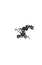 C1=CCN=C1.CCC1CC(c2c(F)c(OC)cc(OC)c2F)Cc2c1ccc1c3c(ccc21)CC(CN1CCOCC1)C=C3